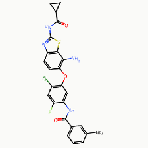 CC(C)(C)c1cccc(C(=O)Nc2cc(Oc3ccc4nc(NC(=O)C5CC5)sc4c3N)c(Cl)cc2F)c1